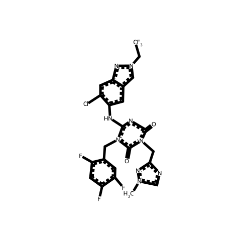 Cn1cnc(Cn2c(=O)nc(Nc3cc4cn(CC(F)(F)F)nc4cc3Cl)n(Cc3cc(F)c(F)cc3F)c2=O)n1